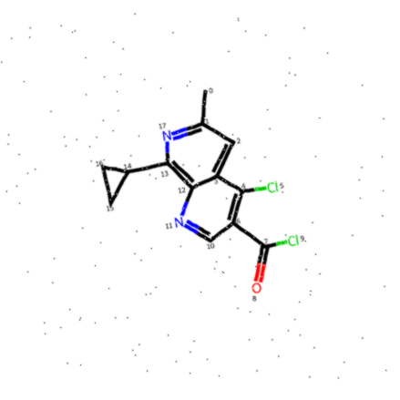 Cc1cc2c(Cl)c(C(=O)Cl)cnc2c(C2CC2)n1